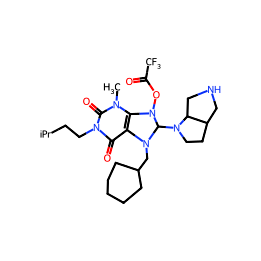 CC(C)CCn1c(=O)c2c(n(C)c1=O)N(OC(=O)C(F)(F)F)C(N1CCC3CNCC31)N2CC1CCCCC1